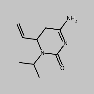 C=CC1CC(N)=NC(=O)N1C(C)C